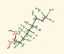 CO[SiH](OC)C(F)(F)C(F)(F)C(F)(F)C(F)(F)C(F)(F)C(F)CC(F)(F)F